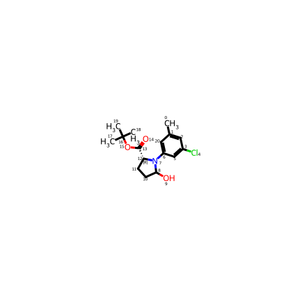 Cc1cc(Cl)cc(N2C(O)CC[C@@H]2C(=O)OC(C)(C)C)c1